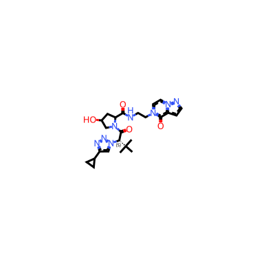 CC(C)(C)[C@@H](C(=O)N1CC(O)CC1C(=O)NCCn1ccn2nccc2c1=O)n1cc(C2CC2)nn1